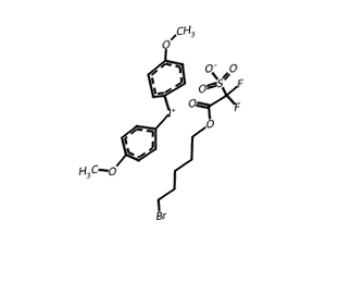 COc1ccc([I+]c2ccc(OC)cc2)cc1.O=C(OCCCCCBr)C(F)(F)S(=O)(=O)[O-]